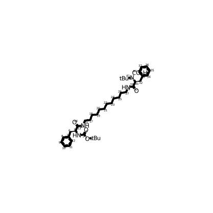 CC(C)(C)OC(=O)N[C@@H](Cc1ccccc1)C(=O)NCCCCCCCCCCCCNC(=O)[C@H](Cc1ccccc1)N(C(=O)O)C(C)(C)C